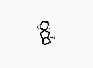 C1=C2CC3(C[C@H]2CC1)OCCO3